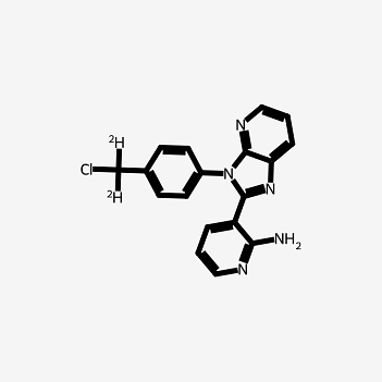 [2H]C([2H])(Cl)c1ccc(-n2c(-c3cccnc3N)nc3cccnc32)cc1